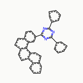 c1ccc(-c2nc(-c3ccccc3)nc(-c3ccc4ccc5ccc6c7ccccc7ccc6c5c4c3)n2)cc1